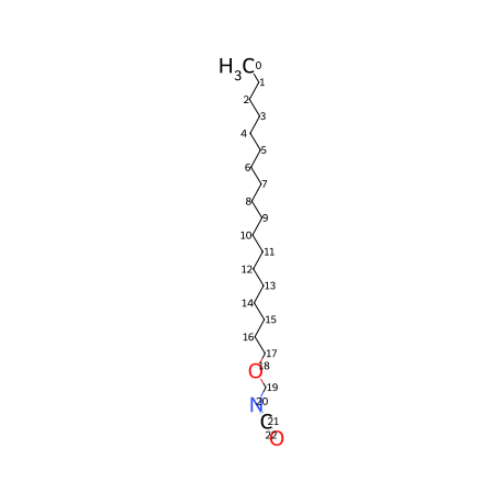 CCCCCCCCCCCCCCCCCCOCN=C=O